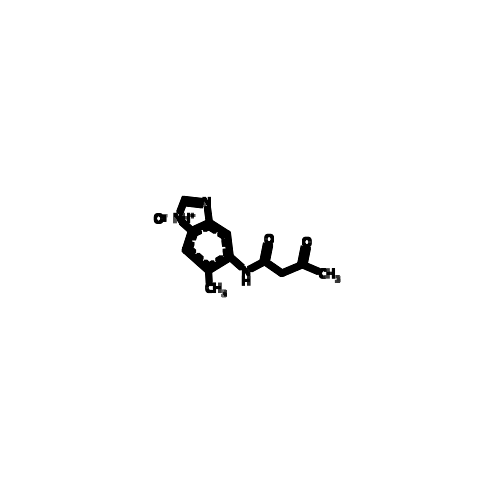 CC(=O)CC(=O)Nc1cc2c(cc1C)[NH+]([O-])C=N2